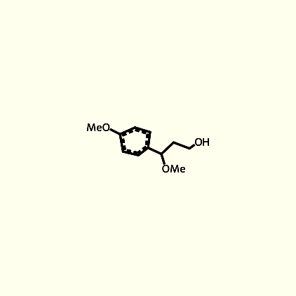 COc1ccc(C(CCO)OC)cc1